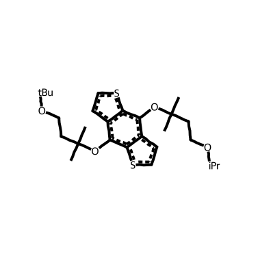 CC(C)OCCC(C)(C)Oc1c2ccsc2c(OC(C)(C)CCOC(C)(C)C)c2ccsc12